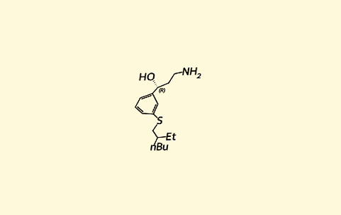 CCCCC(CC)CSc1cccc([C@H](O)CCN)c1